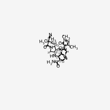 Cc1nn(C)c(C)c1-c1cn2ncc(C(N)=O)c(N[C@@H]3CN(C(=O)C(C)(C)C#N)C[C@H]3C)c2n1